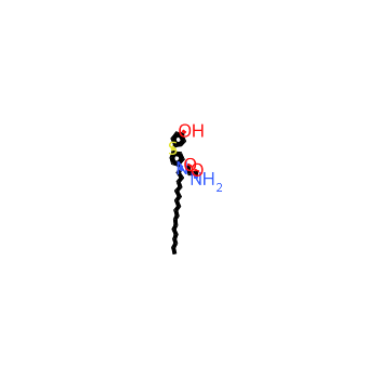 CCCCCCCCCCCCCCCCCCN(C(=O)CC(N)=O)c1ccc(Sc2ccc(O)cc2)cc1